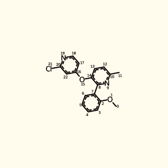 COc1ccccc1-c1nc(C)ccc1Oc1ccnc(Cl)c1